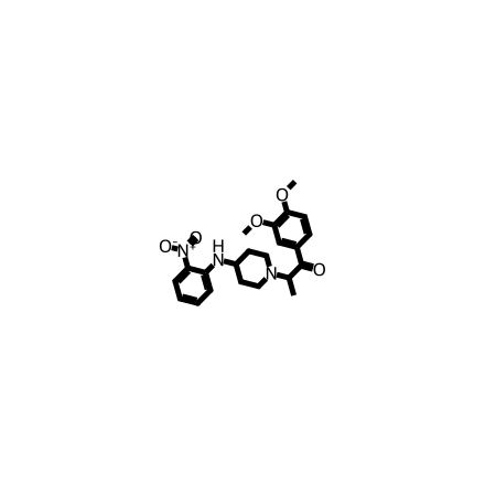 COc1ccc(C(=O)C(C)N2CCC(Nc3ccccc3[N+](=O)[O-])CC2)cc1OC